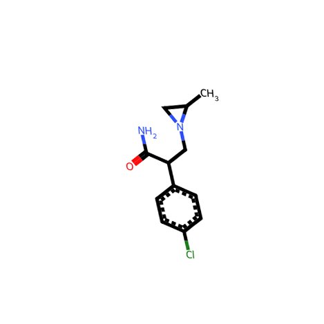 CC1CN1CC(C(N)=O)c1ccc(Cl)cc1